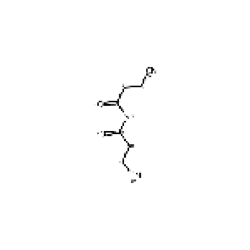 N#CCCC(=O)SC(=O)CCC#N